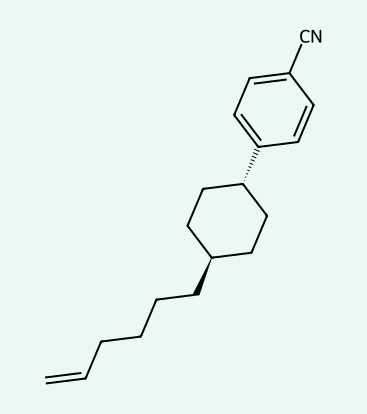 C=CCCCC[C@H]1CC[C@H](c2ccc(C#N)cc2)CC1